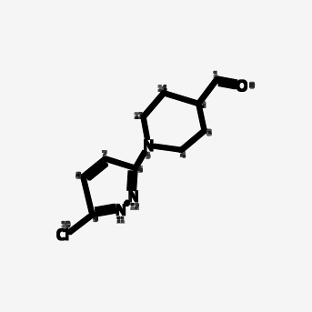 O=[C]C1CCN(c2ccc(Cl)nn2)CC1